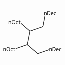 CCCCCCCCCCC[C](CCCCCCCC)C(CCCCCCCC)CCCCCCCCCCC